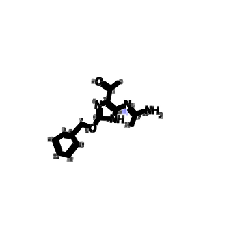 CC(=O)c1nc(OCc2ccccc2)[nH]c1/N=C(\C)N